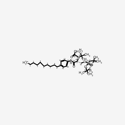 CCCCCCCCCCc1ccc(NC(=O)[C@@H](COP(=O)(OC(C)(C)C)OC(C)(C)C)N(C(=O)O)C(C)(C)C)cc1